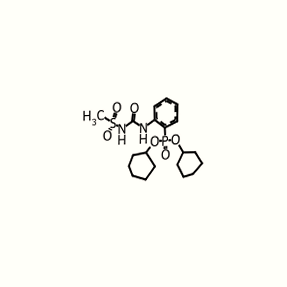 CS(=O)(=O)NC(=O)Nc1ccccc1P(=O)(OC1CCCCC1)OC1CCCCC1